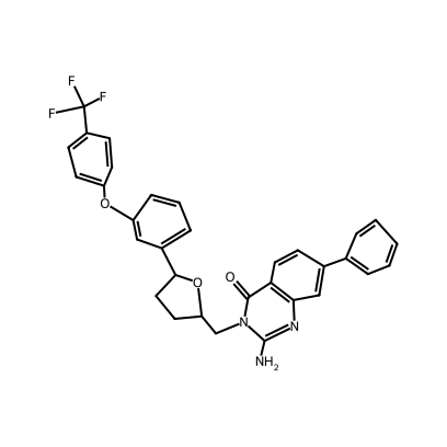 Nc1nc2cc(-c3ccccc3)ccc2c(=O)n1CC1CCC(c2cccc(Oc3ccc(C(F)(F)F)cc3)c2)O1